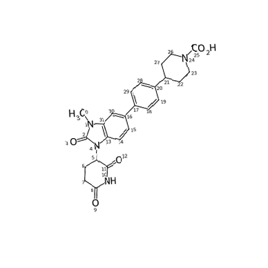 Cn1c(=O)n(C2CCC(=O)NC2=O)c2ccc(-c3ccc(C4CCN(C(=O)O)CC4)cc3)cc21